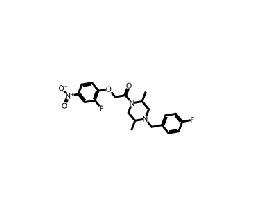 CC1CN(C(=O)COc2ccc([N+](=O)[O-])cc2F)C(C)CN1Cc1ccc(F)cc1